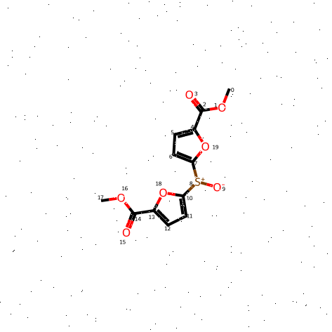 COC(=O)c1ccc([S+]([O-])c2ccc(C(=O)OC)o2)o1